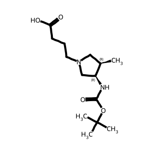 C[C@@H]1CN(CCCC(=O)O)C[C@@H]1NC(=O)OC(C)(C)C